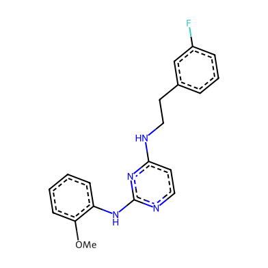 COc1ccccc1Nc1nccc(NCCc2cccc(F)c2)n1